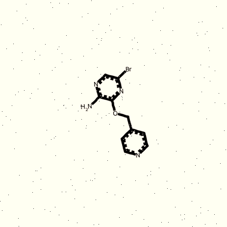 Nc1ncc(Br)nc1OCc1ccncc1